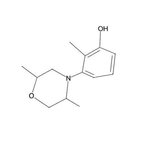 Cc1c(O)cccc1N1CC(C)OCC1C